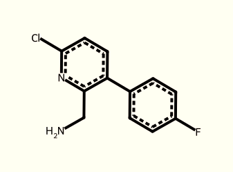 NCc1nc(Cl)ccc1-c1ccc(F)cc1